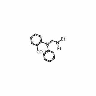 CCOC(=O)c1ccccc1[N+](=CN(CC)CC)c1ccccc1